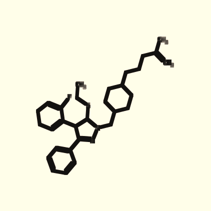 C=C(C)CCCC1CCC(CN2N=C(c3ccccc3)C(C3=CCCC=C3F)C2SCC)CC1